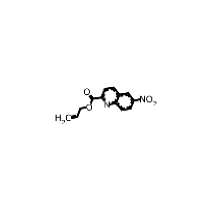 C=CCOC(=O)c1ccc2cc([N+](=O)[O-])ccc2n1